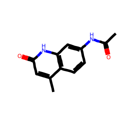 CC(=O)Nc1ccc2c(C)cc(=O)[nH]c2c1